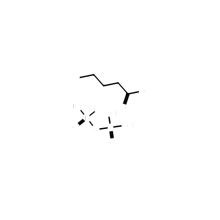 CCCCC(=O)O.O=P(O)(O)OP(=O)(O)O